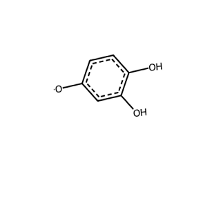 [O]c1ccc(O)c(O)c1